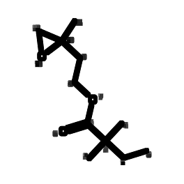 CCC(C)(C)C(=O)OCCC1(C)CO1